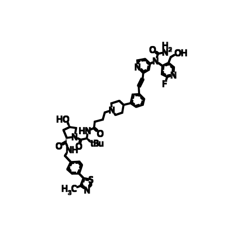 Cc1ncsc1-c1ccc(CNC(=O)[C@@H]2C[C@@H](O)CN2C(=O)[C@@H](NC(=O)CCCN2CCC(c3cccc(C#Cc4cc(N(C(N)=O)c5cc(F)ncc5CO)ccn4)c3)CC2)C(C)(C)C)cc1